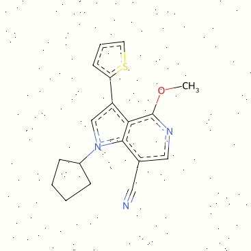 COc1ncc(C#N)c2c1c(-c1cccs1)cn2C1CCCC1